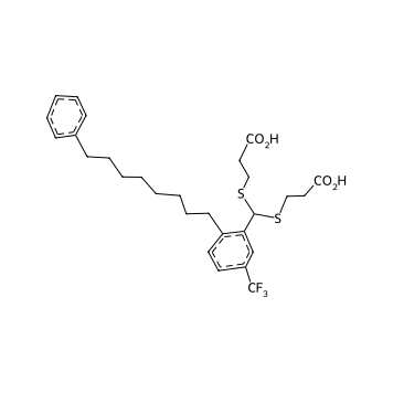 O=C(O)CCSC(SCCC(=O)O)c1cc(C(F)(F)F)ccc1CCCCCCCCc1ccccc1